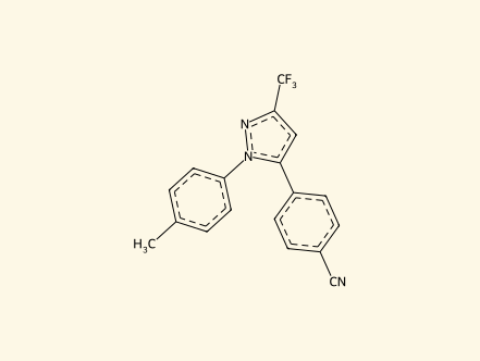 Cc1ccc(-n2nc(C(F)(F)F)cc2-c2ccc(C#N)cc2)cc1